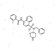 Cc1ccccc1C(=O)Nc1ccc(S(=O)(=O)N(Cc2ccccc2)[C@@H]2CCNC[C@@H]2C)c2ccccc12